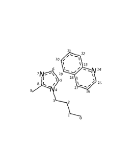 CCCCn1ccnc1C.c1ccc2ncccc2c1